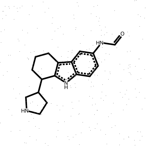 O=CNc1ccc2[nH]c3c(c2c1)CCCC3C1CCNC1